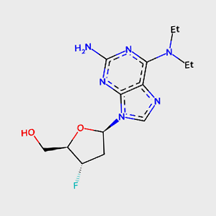 CCN(CC)c1nc(N)nc2c1ncn2[C@H]1C[C@H](F)[C@@H](CO)O1